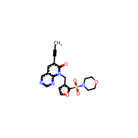 CC#Cc1cc2cncnc2n(Cc2ccoc2S(=O)(=O)N2CCOCC2)c1=O